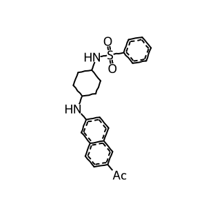 CC(=O)c1ccc2cc(NC3CCC(NS(=O)(=O)c4ccccc4)CC3)ccc2c1